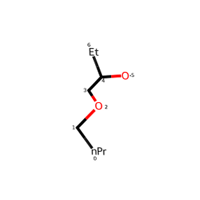 CCCCOCC([O])CC